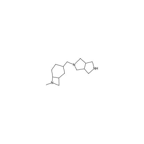 CN1CC2CC(CN3CC4CNCC4C3)CCC21